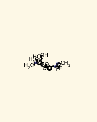 C=C/C=C(\CC1CN(S(=O)(=O)C2=CC=CC(C/C=C(\C=C/CC)C(F)(F)F)C2)CC1CCC(O)O)OC